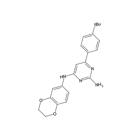 CC(C)(C)c1ccc(-c2cc(Nc3ccc4c(c3)OCCO4)nc(N)n2)cc1